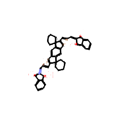 O=C1C(=Cc2cc3c(s2)-c2cc4c(cc2C32CCCCC2)-c2sc(/C=C3/C(=O)c5ccccc5C3O)cc2C42CCCCC2)C(=O)c2ccccc21